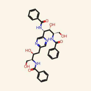 O=C(N[C@@H](CO)[C@@H](O)[C@@H](NC(=O)c1ccccc1)c1cnc(C[C@H](O)[C@H](CO)NC(=O)c2ccccc2)cn1)c1ccccc1